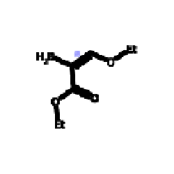 B/C(=C/OCC)C(=O)OCC